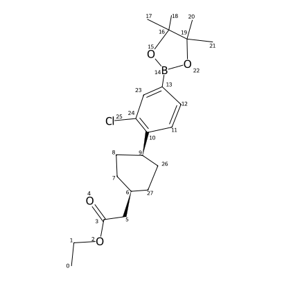 CCOC(=O)C[C@H]1CC[C@@H](c2ccc(B3OC(C)(C)C(C)(C)O3)cc2Cl)CC1